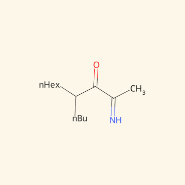 CCCCCCC(CCCC)C(=O)C(C)=N